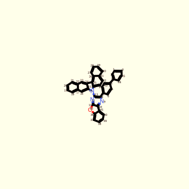 c1ccc(-c2ccc(-c3nc4c(nc3-n3c5cc6ccccc6cc5c5c6ccccc6ccc53)oc3ccccc34)cc2)cc1